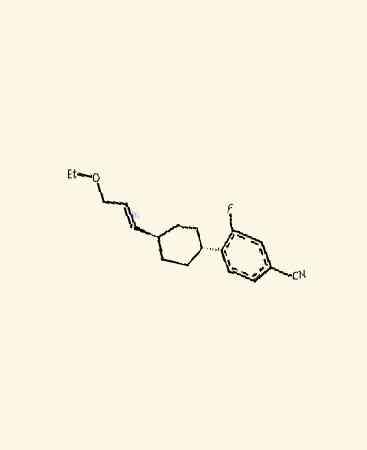 CCOC/C=C/[C@H]1CC[C@H](c2ccc(C#N)cc2F)CC1